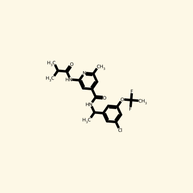 Cc1cc(C(=O)NC(C)c2cc(Cl)cc(OC(C)(F)F)c2)cc(NC(=O)C(C)C)n1